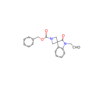 O=CCN1C(=O)C2(CN(C(=O)OCc3ccccc3)C2)c2ccccc21